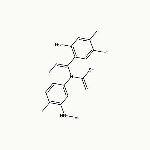 C=C(S)N(/C(=C\C)c1cc(CC)c(C)cc1O)c1ccc(C)c(NCC)c1